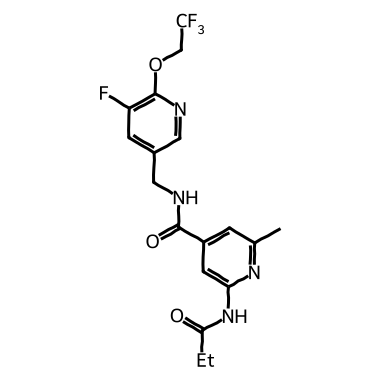 CCC(=O)Nc1cc(C(=O)NCc2cnc(OCC(F)(F)F)c(F)c2)cc(C)n1